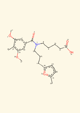 COc1cc(C(=O)N(CCCCC(=O)O)CCCc2ccc(C)o2)cc(OC)c1C